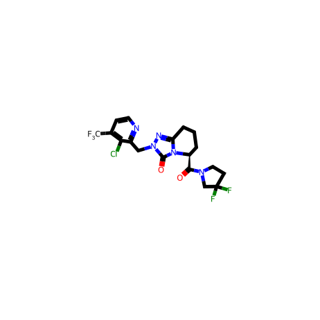 O=C([C@@H]1CCCc2nn(Cc3nccc(C(F)(F)F)c3Cl)c(=O)n21)N1CCC(F)(F)C1